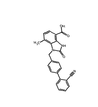 Cc1ccc(C(=O)O)c2[nH]c(=O)n(Cc3ccc(-c4ccccc4C#N)cc3)c12